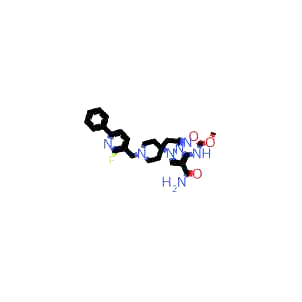 COC(=O)Nc1nn(C2(CC#N)CCN(Cc3ccc(-c4ccccc4)nc3F)CC2)cc1C(N)=O